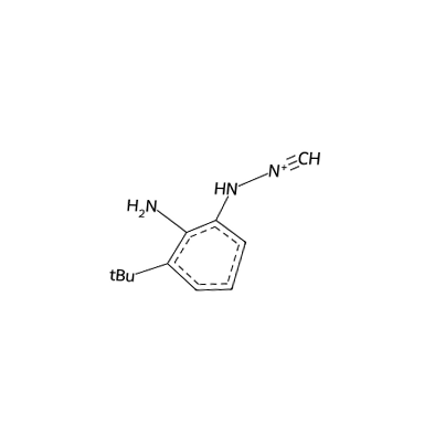 C#[N+]Nc1cccc(C(C)(C)C)c1N